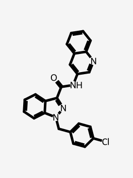 O=C(Nc1cnc2ccccc2c1)c1nn(Cc2ccc(Cl)cc2)c2ccccc12